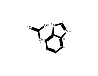 CC(=O)O.c1ccc2scnc2c1